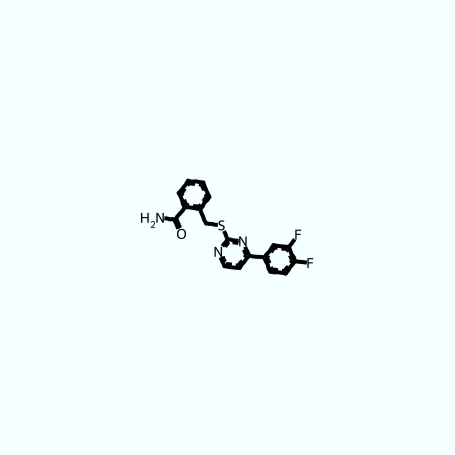 NC(=O)c1ccccc1CSc1nccc(-c2ccc(F)c(F)c2)n1